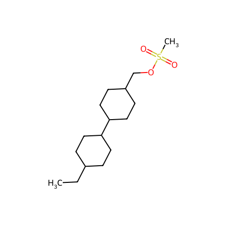 CCC1CCC(C2CCC(COS(C)(=O)=O)CC2)CC1